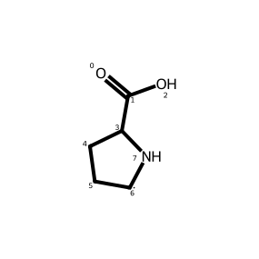 O=C(O)C1CC[CH]N1